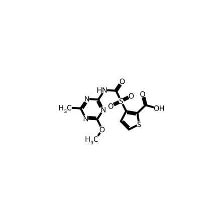 COc1nc(C)nc(NC(=O)S(=O)(=O)c2ccsc2C(=O)O)n1